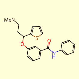 CNCCC(Oc1cccc(C(=O)Nc2ccccc2)c1)c1cccs1